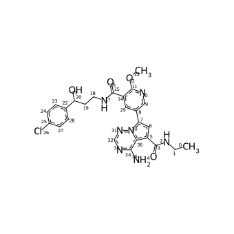 CCNC(=O)c1cc(-c2cnc(OC)c(C(=O)NCCC(O)c3ccc(Cl)cc3)c2)n2ncnc(N)c12